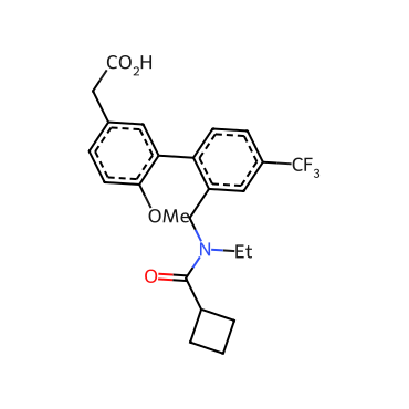 CCN(Cc1cc(C(F)(F)F)ccc1-c1cc(CC(=O)O)ccc1OC)C(=O)C1CCC1